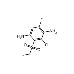 CCS(=O)(=O)c1c(N)cc(F)c(N)c1Cl